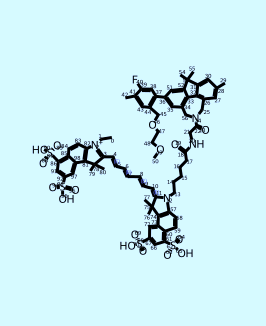 CC[N+]1=C(/C=C/C=C/C=C/C=C2/N(CCCCCC(=O)NCC(=O)N3Cc4cc(C)cc5c4-c4c(cc(-c6cc(F)c(C)cc6COCCOC)cc4C5(C)C)C3)c3ccc4c(S(=O)(=O)O)cc(S(=O)(=O)O)cc4c3C2(C)C)C(C)(C)c2c1ccc1c(S(=O)(=O)O)cc(S(=O)(=O)O)cc21